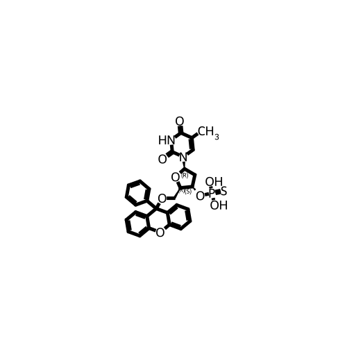 Cc1cn([C@H]2C[C@H](OP(O)(O)=S)[C@@H](COC3(c4ccccc4)c4ccccc4Oc4ccccc43)O2)c(=O)[nH]c1=O